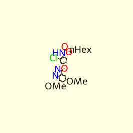 CCCCCCOC(=O)Nc1ccc(Oc2ncnc3cc(OC)c(OC)cc23)cc1Cl